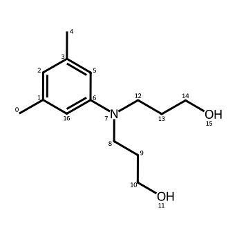 Cc1cc(C)cc(N(CCCO)CCCO)c1